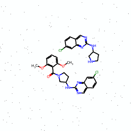 COc1cccc(OC)c1C(=O)N1CCC(Nc2ncc3ccc(Cl)cc3n2)C1.Clc1ccc2cnc(NC3CCNC3)nc2c1